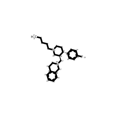 CCCCCN1CC[C@H](c2ccc(F)cc2)[C@@H](CN2CCc3ccccc3C2)C1